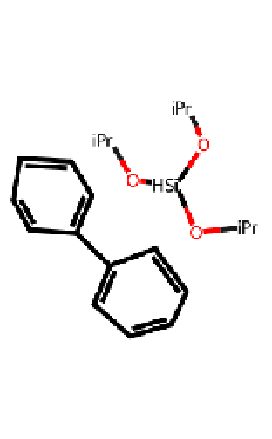 CC(C)O[SiH](OC(C)C)OC(C)C.c1ccc(-c2ccccc2)cc1